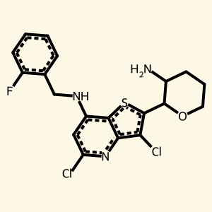 NC1CCCOC1c1sc2c(NCc3ccccc3F)cc(Cl)nc2c1Cl